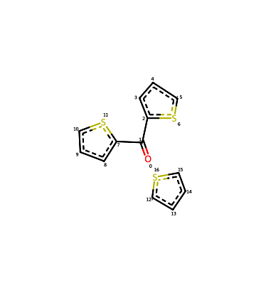 O=C(c1cc[c]s1)c1cccs1.[c]1cccs1